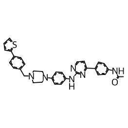 CC(=O)Nc1ccc(-c2ccnc(Nc3ccc(N4CCN(Cc5ccc(-c6cccs6)cc5)CC4)cc3)n2)cc1